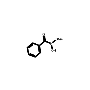 CON(O)C(=O)c1ccccc1